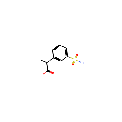 CC(C(=O)O)c1cccc(S(N)(=O)=O)c1